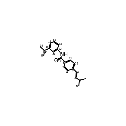 CC(C)/C=C/c1ccc(C(=O)Nc2cccc(N(C)C)c2)cc1